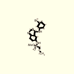 C=C=CP(=O)(Nc1ccc2ncnc(Nc3cccc(Br)c3)c2c1)OC